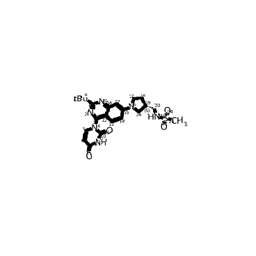 CC(C)(C)c1nc(-n2ccc(=O)[nH]c2=O)c2ccc(N3CC[C@H](CNS(C)(=O)=O)C3)cc2n1